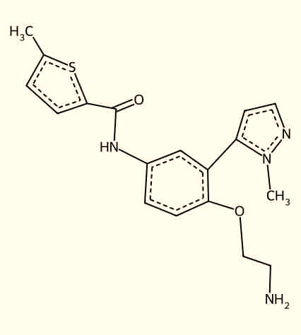 Cc1ccc(C(=O)Nc2ccc(OCCN)c(-c3ccnn3C)c2)s1